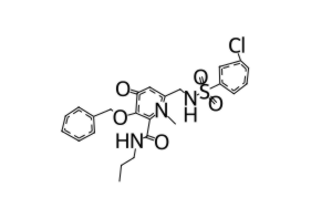 CCCNC(=O)c1c(OCc2ccccc2)c(=O)cc(CNS(=O)(=O)c2cccc(Cl)c2)n1C